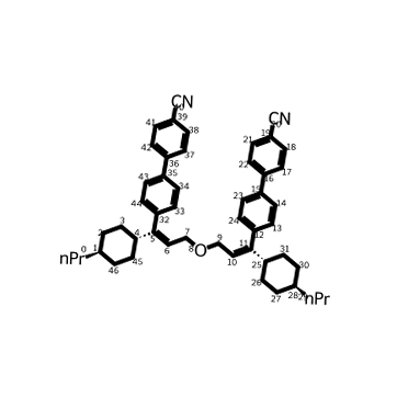 CCC[C@H]1CC[C@H](C(=CCOCC=C(c2ccc(-c3ccc(C#N)cc3)cc2)[C@H]2CC[C@H](CCC)CC2)c2ccc(-c3ccc(C#N)cc3)cc2)CC1